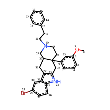 COc1cccc(C23CCN(CCc4ccccc4)CC2Cc2c([nH]c4ccc(Br)cc24)C3)c1